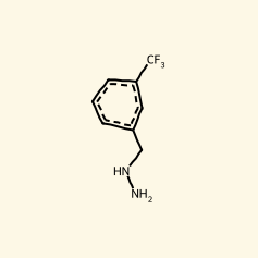 NNCc1cccc(C(F)(F)F)c1